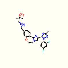 Cc1nc(-c2cn3c(n2)-c2ccc(CNCC(C)(C)O)cc2OCC3)n(-c2ccc(F)cc2F)n1